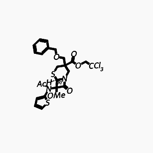 COC1(N(C(C)=O)c2cccs2)C(=O)N2CC(COCc3ccccc3)(C(=O)OCC(Cl)(Cl)Cl)CS[C@@H]21